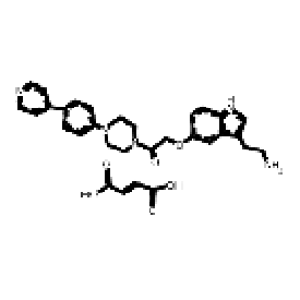 NCCc1c[nH]c2ccc(OCC(=O)N3CCN(c4ccc(-c5ccncc5)cc4)CC3)cc12.O=C(O)C=CC(=O)O